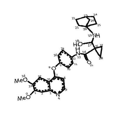 COc1cc2nccc(Oc3ccc(NC(=O)C4(C(O)NC56CCC(CC5)C6)CC4)cc3)c2cc1OC